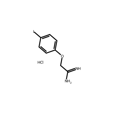 Cl.N=C(N)COc1ccc(I)cc1